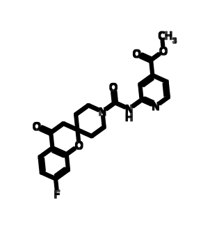 COC(=O)c1ccnc(NC(=O)N2CCC3(CC2)CC(=O)c2ccc(F)cc2O3)c1